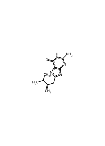 C=C(Cc1nc2nc(N)[nH]c(=O)c2[nH]1)C(C)C